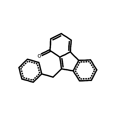 O=C1C=CC=C2C1=C(Cc1ccccc1)c1ccccc12